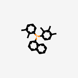 Cc1cccc(P(c2ccc(C)c(C)c2C)c2cccc3ccccc23)c1C